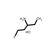 CCC(N)CCF.Cl